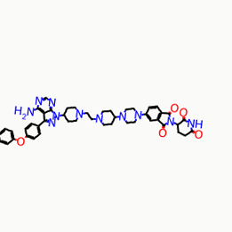 Nc1ncnc2c1c(-c1ccc(Oc3ccccc3)cc1)nn2C1CCN(CCN2CCC(N3CCN(c4ccc5c(c4)C(=O)N(C4CCC(=O)NC4=O)C5=O)CC3)CC2)CC1